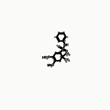 COC1=C(C(=O)O)C=C(S(=O)(=O)Nc2ccccc2)C(C)(C)C1